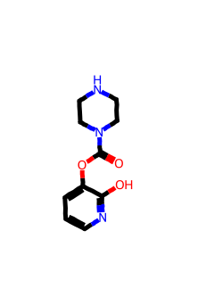 O=C(Oc1cccnc1O)N1CCNCC1